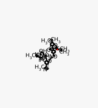 Cc1cc(C(C(=O)N2C[C@H](O)C[C@H]2C(=O)NCc2ccc(-c3scnc3C)cc2OCCNC(=O)c2ccc3c(c2)C(=O)OC32c3ccc(N(C)C)cc3Oc3cc(N(C)C)ccc32)C(C)C)on1